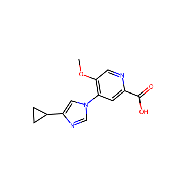 COc1cnc(C(=O)O)cc1-n1cnc(C2CC2)c1